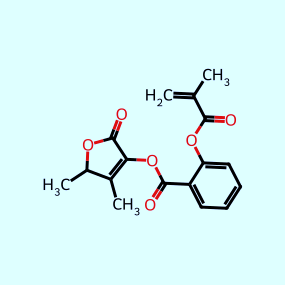 C=C(C)C(=O)Oc1ccccc1C(=O)OC1=C(C)C(C)OC1=O